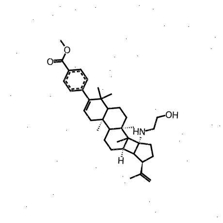 C=C(C)[C@@H]1CC[C@@]2(NCCO)C1[C@H]1CCC3[C@@]4(C)CC=C(c5ccc(C(=O)OC)cc5)C(C)(C)C4CC[C@@]3(C)C12C